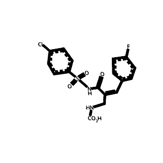 O=C(O)NCC(=Cc1ccc(F)cc1)C(=O)NS(=O)(=O)c1ccc(Cl)cc1